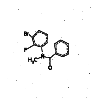 CN(C(=O)c1ccccc1)c1cccc(Br)c1F